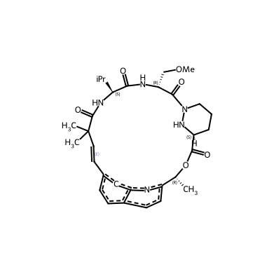 COC[C@H]1NC(=O)[C@H](C(C)C)NC(=O)C(C)(C)/C=C/c2ccc3ccc(nc3c2)[C@@H](C)OC(=O)[C@@H]2CCCN(N2)C1=O